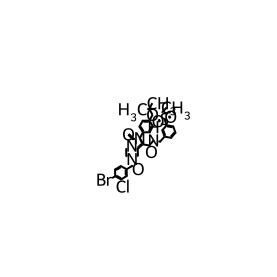 CCS(=O)(=O)c1cccc(CNC(=O)c2c3n(c(=O)n2-c2ccc(OC(C)C)cc2)CCN(C(=O)c2ccc(Br)c(Cl)c2)C3)c1